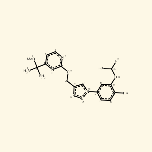 BC(B)(OC)c1ccnc(OCc2cn(-c3ccc(F)c(OC(F)F)c3)nn2)n1